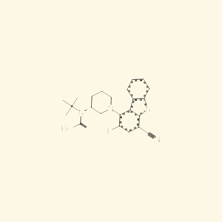 CC(C)(C)N(C(=O)O)[C@H]1CCCN(c2c(F)cc(C#N)c3[nH]c4ccccc4c23)C1